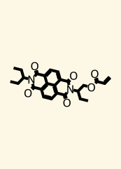 C=CC(=O)OCC(CC)N1C(=O)c2ccc3c4c(ccc(c24)C1=O)C(=O)N(C(CC)CC)C3=O